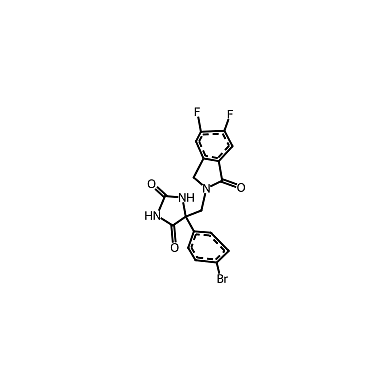 O=C1NC(=O)C(CN2Cc3cc(F)c(F)cc3C2=O)(c2ccc(Br)cc2)N1